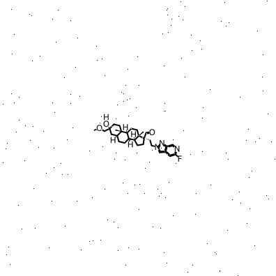 COC[C@@]1(O)CC[C@@]2(C)[C@@H](CC[C@@H]3[C@@H]2CC[C@@]2(C)[C@H]3CC[C@@]2(C=O)CCn2cc3cc(F)ncc3n2)C1